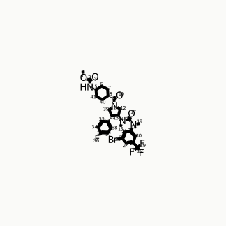 COC(=O)N[C@H]1CC[C@H](C(=O)N2C[C@@H](N(C)C(=O)N(C)c3cc(Br)cc(C(F)(F)F)c3)[C@H](c3ccc(F)cc3)C2)CC1